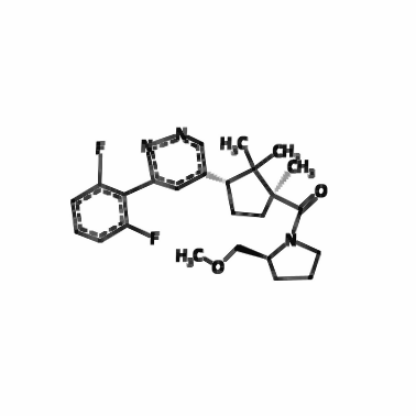 COC[C@@H]1CCCN1C(=O)[C@@]1(C)CC[C@H](c2cnnc(-c3c(F)cccc3F)c2)C1(C)C